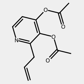 C=CCc1nccc(OC(C)=O)c1OC(C)=O